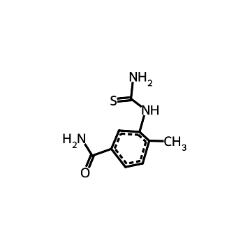 Cc1ccc(C(N)=O)cc1NC(N)=S